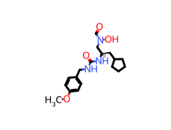 COc1ccc(CNC(=O)N[C@H](CC2CCCC2)CN(O)C=O)cc1